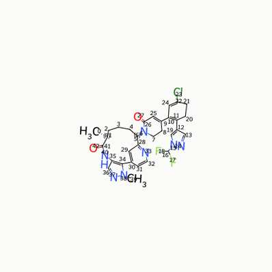 C[C@@H]1CCC[C@H](N2CCC(C3=C(c4cnn(C(F)F)c4)CCC(Cl)=C3)=CC2=O)c2cc(ccn2)-c2c(cnn2C)NC1=O